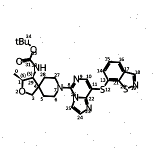 C[C@@H]1OCC2(CCN(c3ncc(Sc4cccc5cnsc45)c4nccn34)CC2)[C@@H]1NC(=O)OC(C)(C)C